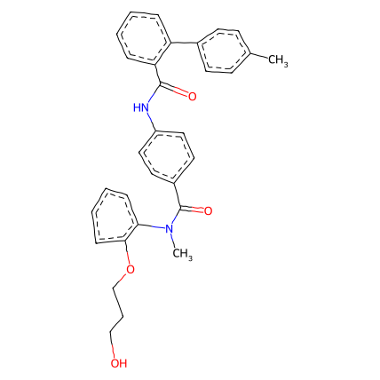 Cc1ccc(-c2ccccc2C(=O)Nc2ccc(C(=O)N(C)c3ccccc3OCCCO)cc2)cc1